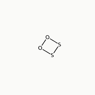 O1OSS1